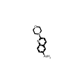 [AsH2]c1ccc2nc(N3CCOCC3)ccc2c1